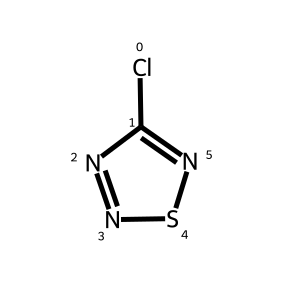 Clc1nnsn1